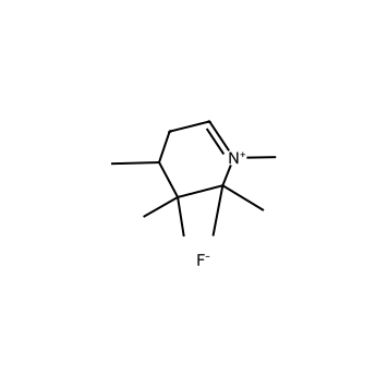 CC1CC=[N+](C)C(C)(C)C1(C)C.[F-]